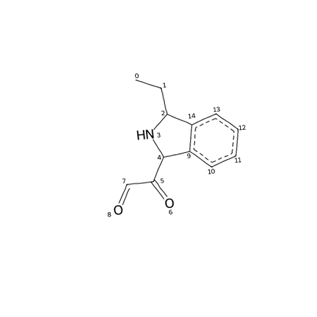 CCC1NC(C(=O)C=O)c2ccccc21